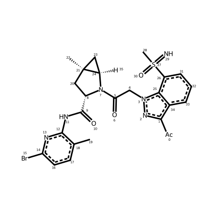 CC(=O)c1nn(CC(=O)N2[C@H](C(=O)Nc3nc(Br)ccc3C)C[C@@]3(C)C[C@@H]23)c2c(S(C)(=N)=O)cccc12